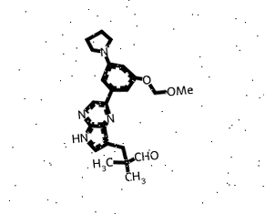 COCOc1cc(-c2cnc3[nH]cc(CC(C)(C)C=O)c3n2)cc(N2CCCC2)c1